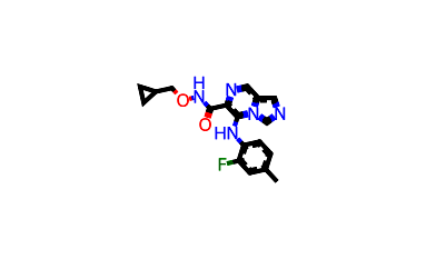 Cc1ccc(Nc2c(C(=O)NOCC3CC3)ncc3cncn23)c(F)c1